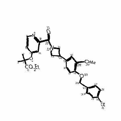 CCOC(=O)C(C)(C)Oc1ccnc(C(=O)N2CC(c3ccc(OCc4ccc(CC)cc4)c(OC)c3)C2)c1